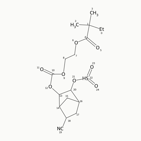 CCC(C)(C)C(=O)OCCOC(=O)OC1C2CC(CC2C#N)C1O[SH](=O)=O